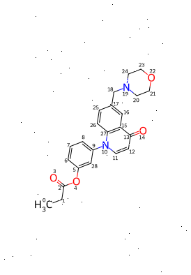 CCC(=O)Oc1cccc(-n2ccc(=O)c3cc(CN4CCOCC4)ccc32)c1